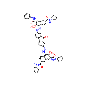 O=C(Nc1ccccc1)c1ccc2c(N=Nc3ccc4c(c3)C(=O)c3cc(N=Nc5c(O)c(C(=O)Nc6ccccc6)cc6cc(C(=O)Nc7ccccc7)ccc56)ccc3-4)c(O)c(C(=O)Nc3ccccc3)cc2c1